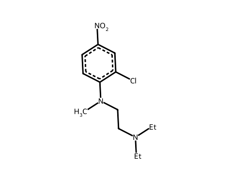 CCN(CC)CCN(C)c1ccc([N+](=O)[O-])cc1Cl